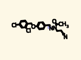 CC(=O)N(CCC#N)/N=C/c1ccc(OCc2ccc(Cl)cc2Cl)cc1